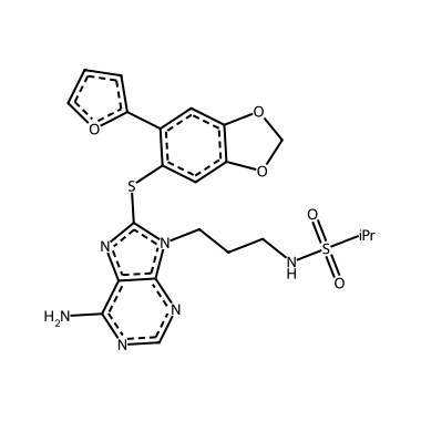 CC(C)S(=O)(=O)NCCCn1c(Sc2cc3c(cc2-c2ccco2)OCO3)nc2c(N)ncnc21